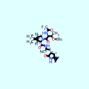 C[C@@H](OC(C)(C)C)[C@H](NC(=O)C(F)(F)F)C(=O)N1C[C@H]2[C@@H]([C@H]1C(=O)N[C@H](C#N)C[C@@H]1CC3(CC3)NC1=O)C2(C)C